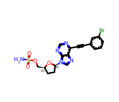 NS(=O)(=O)OC[C@@H]1CC[C@H](n2cnc3c(C#Cc4cccc(Br)c4)ncnc32)O1